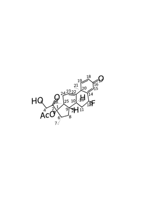 CC(=O)O[C@@]1(C(=O)CO)[C@@H](C)C[C@H]2[C@@H]3C[C@H](F)C4=CC(=O)C=C[C@]4(C)C3=CC[C@@]21C